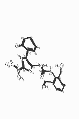 CCc1cccc(CC)c1NC(=O)Nc1sc(N(C)C)nc1-c1ccccc1Cl